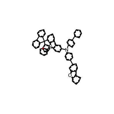 c1ccc(-c2ccc(N(c3ccc(-c4ccc5c(c4)oc4ccccc45)cc3)c3ccc4c(c3)c3cccc(C5(c6ccccc6)c6ccccc6-c6ccccc65)c3n4-c3ccccc3)cc2)cc1